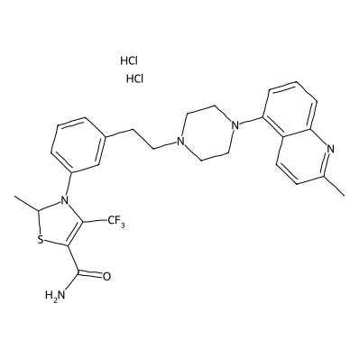 Cc1ccc2c(N3CCN(CCc4cccc(N5C(C(F)(F)F)=C(C(N)=O)SC5C)c4)CC3)cccc2n1.Cl.Cl